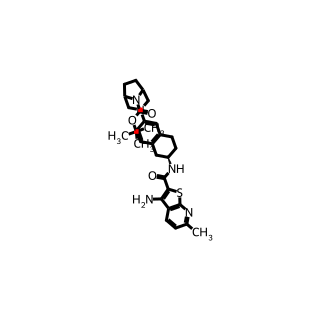 Cc1ccc2c(N)c(C(=O)N[C@@H]3CCc4cc(N5CC6CCC(C5)N6C(=O)OC(C)(C)C)ccc4C3)sc2n1